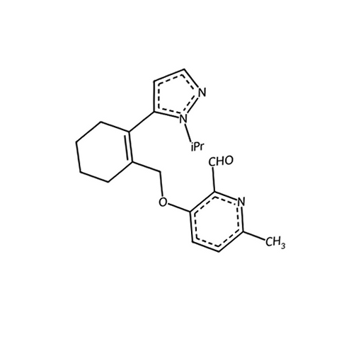 Cc1ccc(OCC2=C(c3ccnn3C(C)C)CCCC2)c(C=O)n1